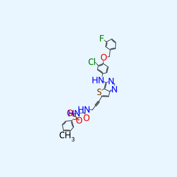 Cc1ccc(S(=O)(=O)NC(=O)NCC#Cc2cc3ncnc(Nc4ccc(OCc5cccc(F)c5)c(Cl)c4)c3s2)cc1